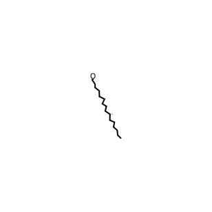 CCCCCC[CH]CCCCCCCCC=O